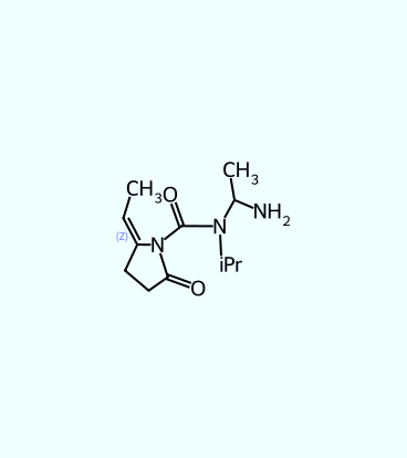 C/C=C1/CCC(=O)N1C(=O)N(C(C)C)C(C)N